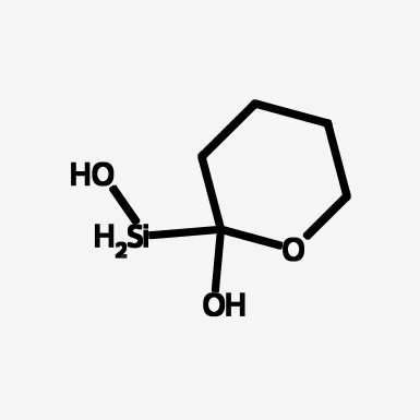 O[SiH2]C1(O)CCCCO1